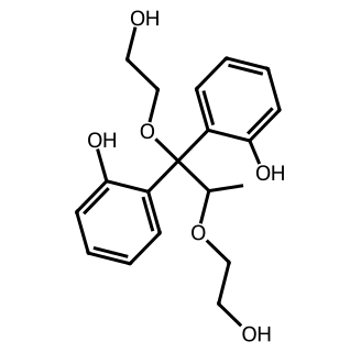 CC(OCCO)C(OCCO)(c1ccccc1O)c1ccccc1O